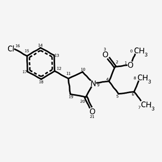 COC(=O)C(CC(C)C)N1CC(c2ccc(Cl)cc2)CC1=O